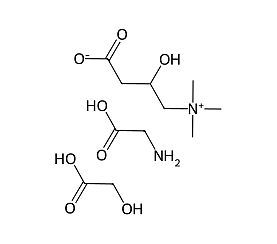 C[N+](C)(C)CC(O)CC(=O)[O-].NCC(=O)O.O=C(O)CO